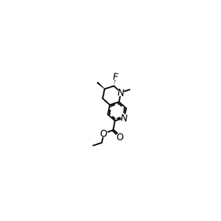 CCOC(=O)c1cc2c(cn1)N(C)[C@@H](F)[C@H](C)C2